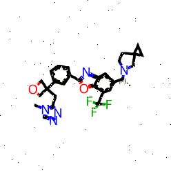 C[C@H](c1cc(C(F)(F)F)c2oc(-c3cccc(C4(Cc5nncn5C)COC4)c3)nc2c1)N1CCC2(CC2)C1